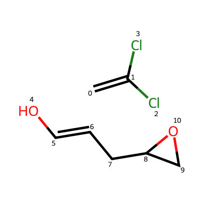 C=C(Cl)Cl.OC=CCC1CO1